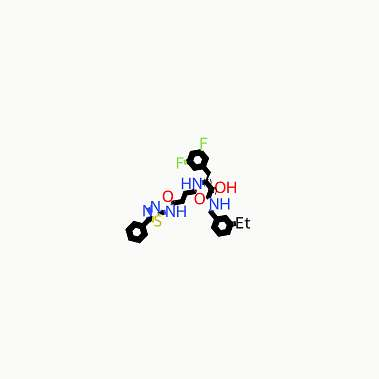 CCc1cccc(CNC[C@H](O)[C@H](Cc2cc(F)cc(F)c2)NC(=O)CCC(=O)Nc2nnc(-c3ccccc3)s2)c1